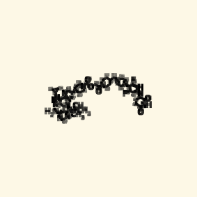 CC(C)(C)n1nc(-c2nnn(C3CC3)c2-c2ncc(N3CCN(C(=O)OCC(=O)N4CCC(CN5CCN(c6c(F)cc(NC7CCC(=O)NC7=O)cc6F)CC5)CC4)CC3)cn2)c2c(N)ncnc21